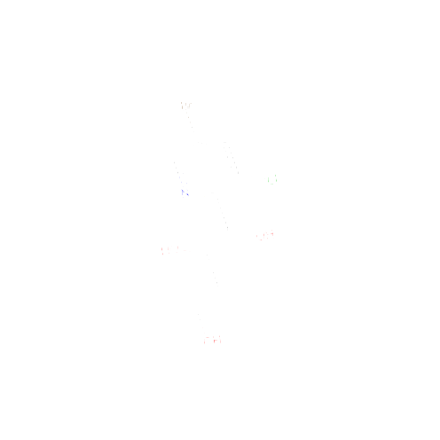 OCCC(O)C(O)c1ncc(Br)cc1Cl